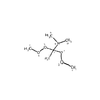 COOC(C)(OOC)N(C)C